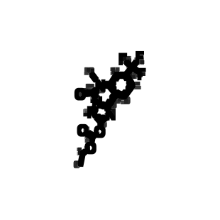 CCOC(=O)Oc1nc2c3ccc(C(F)(F)F)cc3n(C)c(=O)n2n1